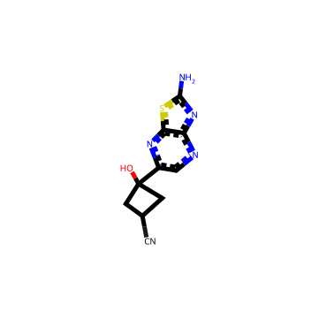 N#CC1CC(O)(c2cnc3nc(N)sc3n2)C1